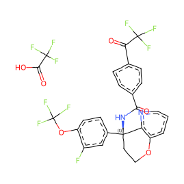 O=C(N[C@]1(c2ccc(OC(F)(F)F)c(F)c2)CCOc2cccnc21)c1ccc(C(=O)C(F)(F)F)cc1.O=C(O)C(F)(F)F